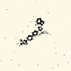 CN(C)[C@@H]1CN(C2CCc3cccc(F)c32)C[C@H]1c1ccc(N2CCN(C(=O)CS(N)(=O)=O)CC2)nc1